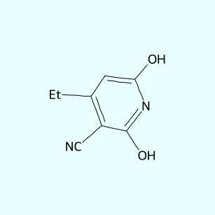 CCc1cc(O)nc(O)c1C#N